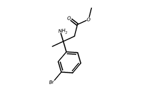 COC(=O)CC(C)(N)c1cccc(Br)c1